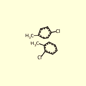 Cc1ccc(Cl)cc1.Cc1ccccc1Cl